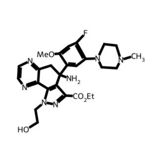 CCOC(=O)c1nn(CCO)c2c1C(N)(c1cc(N3CCN(C)CC3)c(F)cc1OC)Cc1nccnc1-2